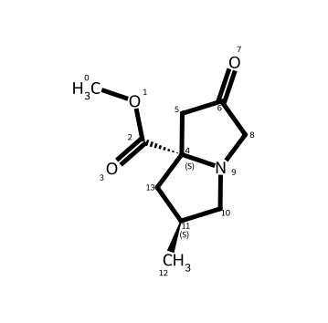 COC(=O)[C@]12CC(=O)CN1C[C@@H](C)C2